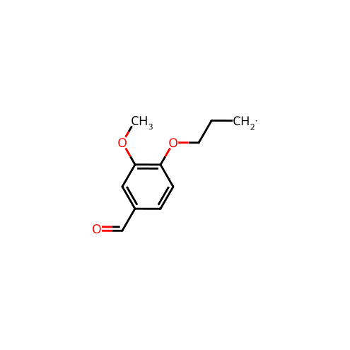 [CH2]CCOc1ccc(C=O)cc1OC